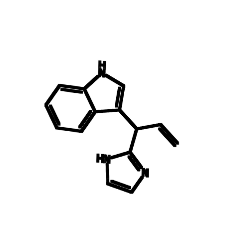 C=CC(c1ncc[nH]1)c1c[nH]c2ccccc12